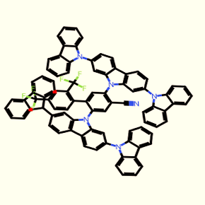 N#Cc1cc(-n2c3cc(C4c5ccccc5-c5ccccc54)ccc3c3ccc(-n4c5ccccc5c5ccccc54)cc32)c(-c2ccc(C(F)(F)F)cc2C(F)(F)F)cc1-n1c2cc(-n3c4ccccc4c4ccccc43)ccc2c2ccc(-n3c4ccccc4c4ccccc43)cc21